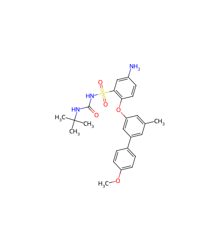 COc1ccc(-c2cc(C)cc(Oc3ccc(N)cc3S(=O)(=O)NC(=O)NC(C)(C)C)c2)cc1